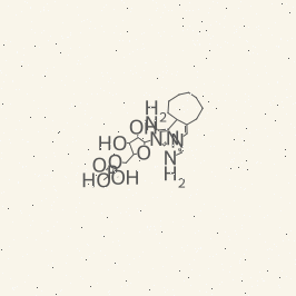 N/C=N/C=C1/CCCCCCCC1c1ncn(C2OC(COP(=O)(O)O)C(O)C2O)c1N